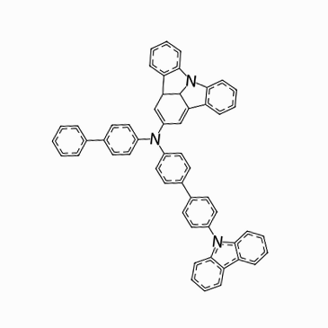 C1=C2c3ccccc3N3c4ccccc4C(C=C1N(c1ccc(-c4ccccc4)cc1)c1ccc(-c4ccc(-n5c6ccccc6c6ccccc65)cc4)cc1)C23